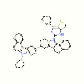 C1=CC2NC(n3c4ccc(-c5ccc6c(c5)c5c7ccccc7ccc5n6-c5ccccc5)cc4c4ccc5ccccc5c43)=NC(c3ccccc3)=C2S1